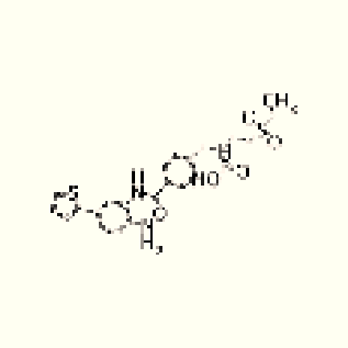 CCS(=O)(=O)CCC(Cc1ccc(C(=O)Nc2cc(-c3cccs3)ccc2N)cc1)[PH](=O)O